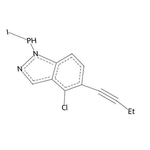 CCC#Cc1ccc2c(cnn2PI)c1Cl